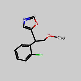 O=COCC(c1cnco1)c1ccccc1Cl